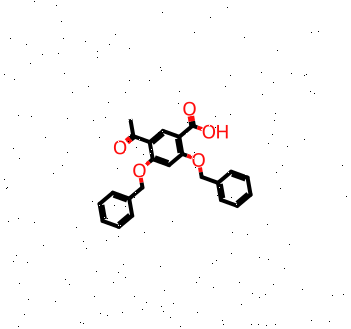 CC(=O)c1cc(C(=O)O)c(OCc2ccccc2)cc1OCc1ccccc1